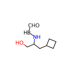 O=CBNC(CO)CC1CCC1